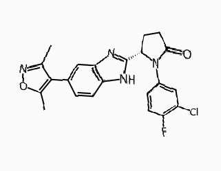 Cc1noc(C)c1-c1ccc2[nH]c([C@@H]3CCC(=O)N3c3ccc(F)c(Cl)c3)nc2c1